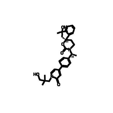 C[C@@H](c1ccc(-c2ccn(CC(C)(C)CO)c(=O)c2)cc1)N1CC[C@](CC(C)(C)O)(c2ccccc2)OC1=O